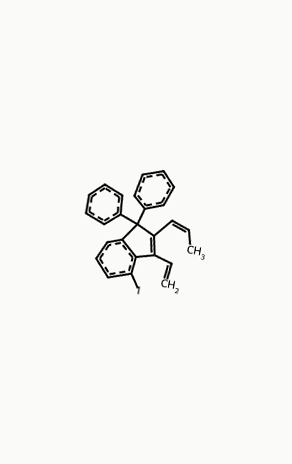 C=CC1=C(/C=C\C)C(c2ccccc2)(c2ccccc2)c2cccc(I)c21